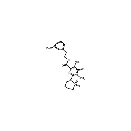 COc1cccc(CCNC(=O)c2nc(N3CCCCS3(=O)=O)n(C)c(=O)c2O)c1